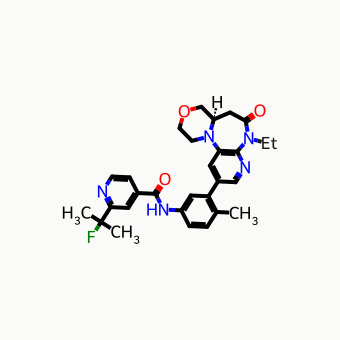 CCN1C(=O)C[C@@H]2COCCN2c2cc(-c3cc(NC(=O)c4ccnc(C(C)(C)F)c4)ccc3C)cnc21